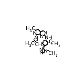 CCn1cnnc1-c1ccc(Nc2ncc3cc(C)nc(N4CC(C)(C)C4)c3n2)c(OC)c1